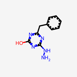 NNc1nc(O)nc(Cc2ccccc2)n1